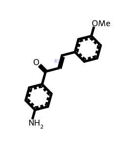 COc1cccc(/C=C/C(=O)c2ccc(N)cc2)c1